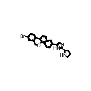 Brc1ccc2c(c1)COc1c-2ccc2cc(-c3cnc([C@@H]4CCCN4)[nH]3)ccc12